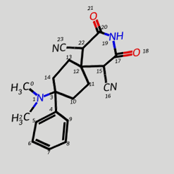 CN(C)C1(c2ccccc2)CCC2(CC1)C(C#N)C(=O)NC(=O)C2C#N